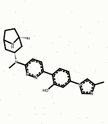 Cc1cn(-c2ccc(-c3ccc(N(C)[C@@H]4CC5CC[C@@H](C4)N5)nn3)c(O)c2)cn1